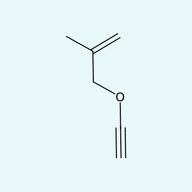 C#COCC(=C)C